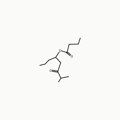 CCCC(=O)OC(CCC)CC(=O)C(C)C